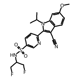 COc1ccc2c(C#N)c(-c3ccc(S(=O)(=O)NC(CF)CF)cn3)n(C(C)C)c2c1